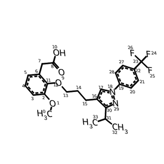 COc1cccc(CC(=O)O)c1OCCCc1cn(-c2ccc(C(F)(F)F)cc2)nc1C(C)C